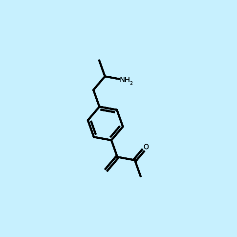 C=C(C(C)=O)c1ccc(CC(C)N)cc1